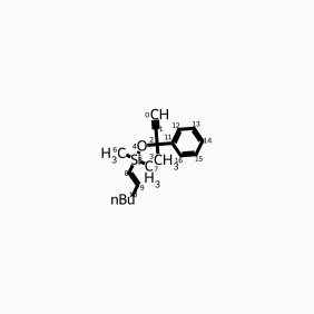 C#CC(C)(O[Si](C)(C)C=CCCCC)c1ccccc1